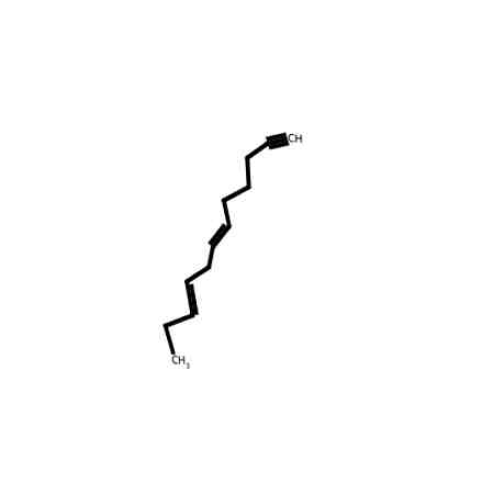 C#CCCCC=CCC=CCC